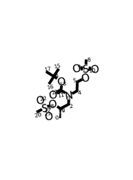 C[C@H](CN(CCOS(C)(=O)=O)C(=O)OC(C)(C)C)OS(C)(=O)=O